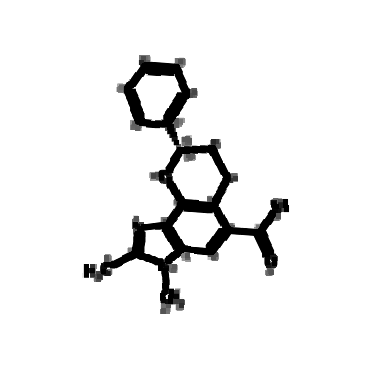 Cc1nc2c3c(c(C(=O)S)cc2n1C)CC[C@@H](c1ccccc1)O3